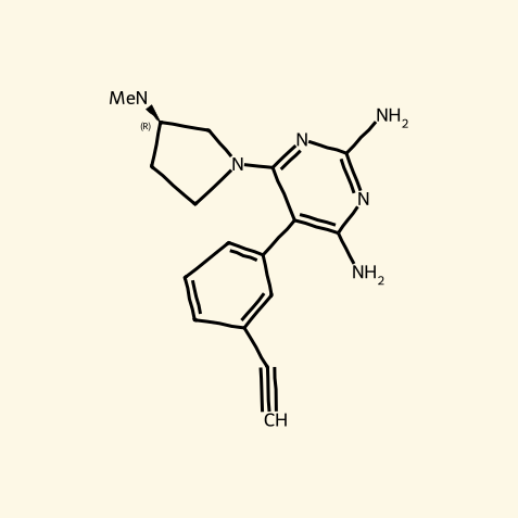 C#Cc1cccc(-c2c(N)nc(N)nc2N2CC[C@@H](NC)C2)c1